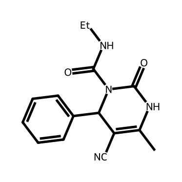 CCNC(=O)N1C(=O)NC(C)=C(C#N)C1c1ccccc1